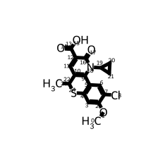 COc1cc2c(cc1Cl)-c1c(cc(C(=O)O)c(=O)n1C1CC1)C(C)S2